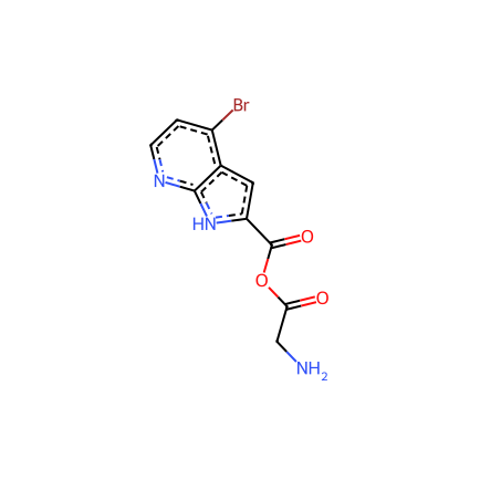 NCC(=O)OC(=O)c1cc2c(Br)ccnc2[nH]1